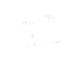 COc1cccc(CN2C(=O)CN(C(=O)c3ccc(OC)cc3OC)C[C@@H]2CCc2ccccc2)c1